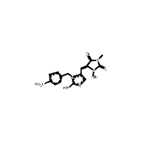 CCCCN1C(=O)N(C)C(=O)C1=Cc1cnc(CCC)n1Cc1ccc(C(=O)O)cc1